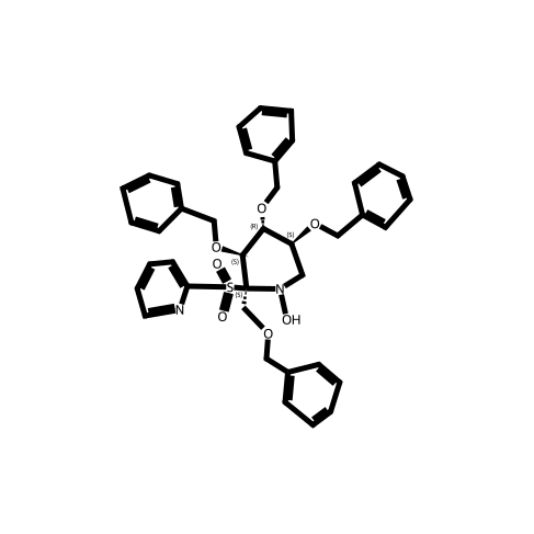 O=S(=O)(c1ccccn1)[C@@]1(COCc2ccccc2)[C@@H](OCc2ccccc2)[C@H](OCc2ccccc2)[C@@H](OCc2ccccc2)CN1O